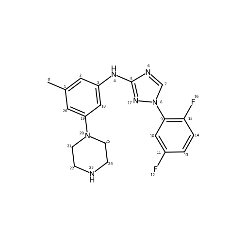 Cc1cc(Nc2ncn(-c3cc(F)ccc3F)n2)cc(N2CCNCC2)c1